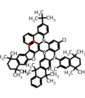 Cc1cc2c(cc1N1c3cc4c(cc3B3c5c1cc(Cl)cc5N(c1ccc(C(C)(C)C)cc1-c1ccccc1)c1ccc5c(oc6cc7c(cc65)C(C)(C)CCC7(C)C)c13)C(C)(C)c1ccccc1C4(C)C)C(C)(C)CCC2(C)C